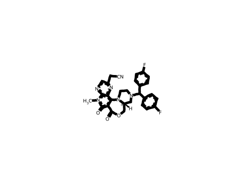 Cn1c(=O)c2c(c3nc(CC#N)cnc31)N1CCN(C(c3ccc(F)cc3)c3ccc(F)cc3)C[C@@H]1COC2=O